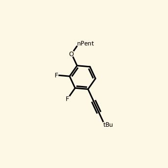 CCCCCOc1ccc(C#CC(C)(C)C)c(F)c1F